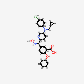 CON=C(c1ccc(Oc2ccccc2)c(C(=O)O)c1)c1ccc(N(CC2CC2)c2ccc(Cl)cc2)cn1